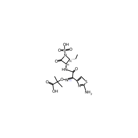 CC[C@@H]1[C@@H](NC(=O)/C(=N\OC(C)(C)C(=O)O)c2csc(N)n2)C(=O)N1S(=O)(=O)O